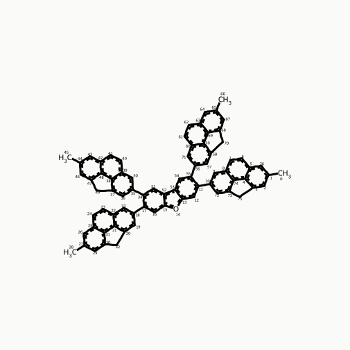 Cc1cc2c3c(ccc4cc(-c5cc6oc7cc(-c8cc9c%10c(ccc%11cc(C)cc(c%11%10)C9)c8)c(-c8cc9c%10c(ccc%11cc(C)cc(c%11%10)C9)c8)cc7c6cc5-c5cc6c7c(ccc8cc(C)cc(c87)C6)c5)cc(c43)C2)c1